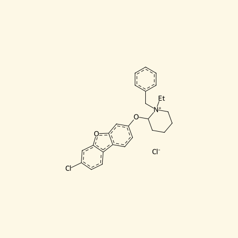 CC[N+]1(Cc2ccccc2)CCCCC1Oc1ccc2c(c1)oc1cc(Cl)ccc12.[Cl-]